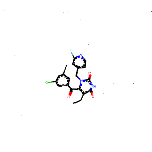 CCc1c(C(=O)c2cc(C)cc(Cl)c2)n(Cc2ccnc(F)c2)c(=O)[nH]c1=O